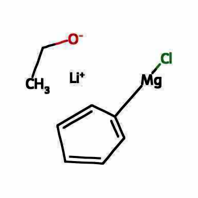 CC[O-].[Cl][Mg][c]1ccccc1.[Li+]